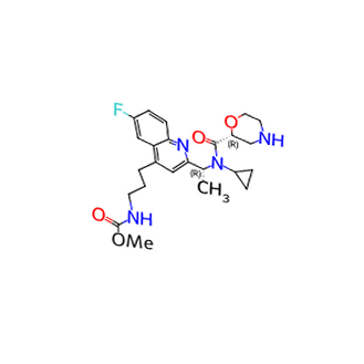 COC(=O)NCCCc1cc([C@@H](C)N(C(=O)[C@H]2CNCCO2)C2CC2)nc2ccc(F)cc12